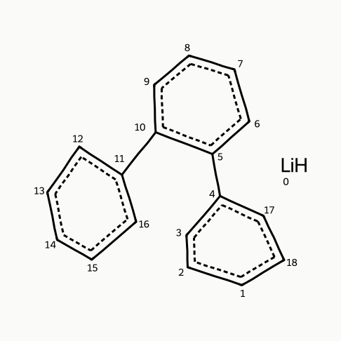 [LiH].c1ccc(-c2ccccc2-c2ccccc2)cc1